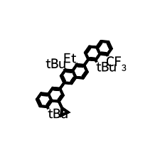 CCc1c(-c2ccc3cccc(C(F)(F)F)c3c2C(C)(C)C)ccc2cc(-c3cc(C4CC4)c4c(C(C)(C)C)cccc4c3)cc(C(C)(C)C)c12